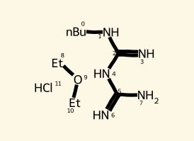 CCCCNC(=N)NC(=N)N.CCOCC.Cl